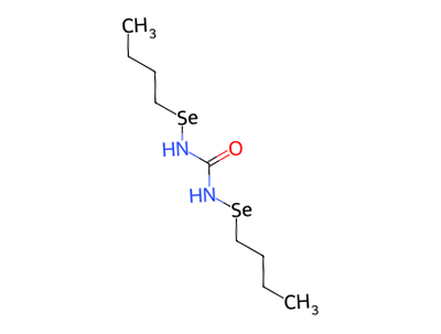 CCCC[Se]NC(=O)N[Se]CCCC